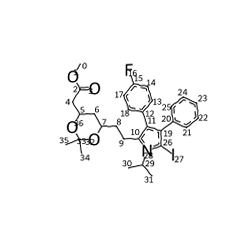 COC(=O)CC1CC(CCc2c(-c3ccc(F)cc3)c(-c3ccccc3)c(I)n2C(C)C)OC(C)(C)O1